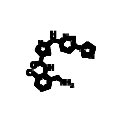 NCc1cccc(Cl)c1NC(=O)c1cnc(Nc2ccc(-n3ccnc3)nn2)s1